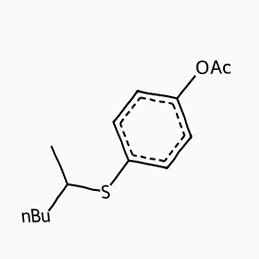 CCCCC(C)Sc1ccc(OC(C)=O)cc1